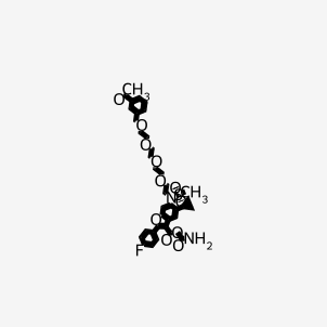 CC(=O)c1cccc(COCCOCCOCCOCCN(c2cc3oc(-c4ccc(F)cc4)c(C(=O)OC(N)=O)c3cc2C2CC2)S(C)(=O)=O)c1